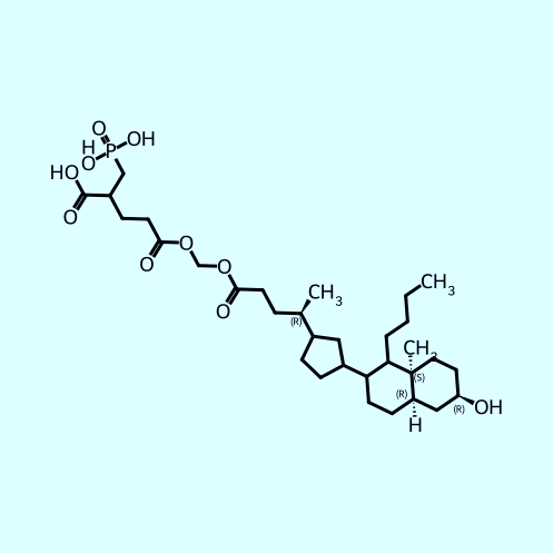 CCCCC1C(C2CCC([C@H](C)CCC(=O)OCOC(=O)CCC(CP(=O)(O)O)C(=O)O)C2)CC[C@@H]2C[C@H](O)CC[C@]12C